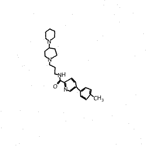 Cc1ccc(-c2ccc(C(=O)NCCCN3CCC(N4CCCCC4)CC3)nc2)cc1